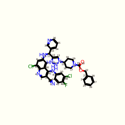 N#Cc1cnc2c(Cl)cc(NC(C3=CN(C4CCN(C(=O)OCc5ccccc5)CC4)NN3)c3cccnc3)cc2c1Nc1ccc(F)c(Cl)c1